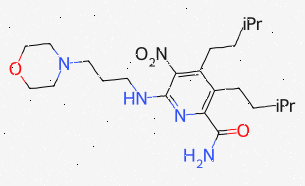 CC(C)CCc1c(C(N)=O)nc(NCCCN2CCOCC2)c([N+](=O)[O-])c1CCC(C)C